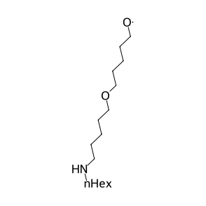 CCCCCCNCCCCCOCCCCC[O]